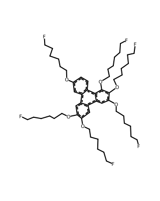 FCCCCCCOc1ccc2c(c1)c1cc(OCCCCCCF)c(OCCCCCCF)cc1c1cc(OCCCCCCF)c(OCCCCCCF)c(OCCCCCCF)c21